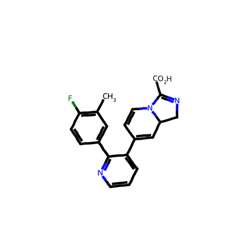 Cc1cc(-c2ncccc2C2=CC3CN=C(C(=O)O)N3C=C2)ccc1F